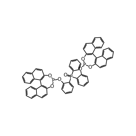 O=P(c1ccccc1)(c1ccccc1Op1oc2ccc3ccccc3c2c2c(ccc3ccccc32)o1)c1ccccc1Op1oc2ccc3ccccc3c2c2c(ccc3ccccc32)o1